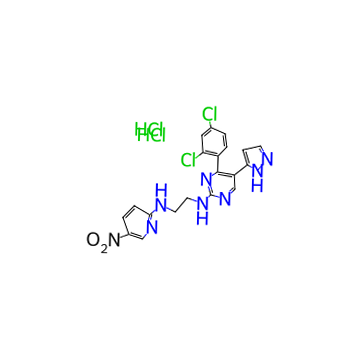 Cl.Cl.O=[N+]([O-])c1ccc(NCCNc2ncc(-c3ccn[nH]3)c(-c3ccc(Cl)cc3Cl)n2)nc1